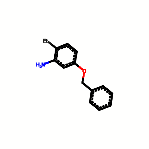 CCc1ccc(OCc2ccccc2)cc1N